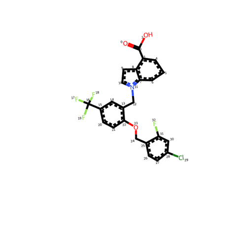 O=C(O)c1cccc2c1ccn2Cc1cc(C(F)(F)F)ccc1OCc1ccc(Cl)cc1F